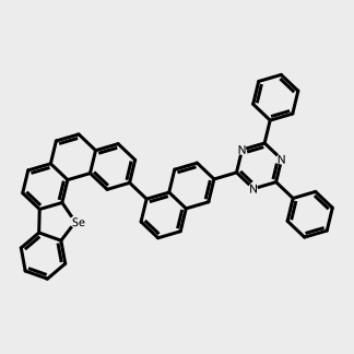 c1ccc(-c2nc(-c3ccccc3)nc(-c3ccc4c(-c5ccc6ccc7ccc8c9ccccc9[se]c8c7c6c5)cccc4c3)n2)cc1